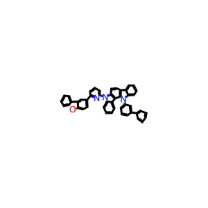 c1ccc(-c2cccc(-n3c4ccccc4c4ccc5c(c6ccccc6n5-c5cccc(-c6ccc7oc8ccccc8c7c6)n5)c43)c2)cc1